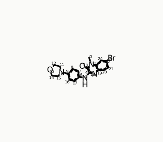 Cn1c(=O)c(Nc2ccc(N3CCOCC3)cc2)nc2ccc(Br)cc21